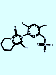 N#Cc1c2n(c(=O)n1-c1cc(OS(=O)(=O)C(F)(F)F)c(Cl)cc1F)CCCC2